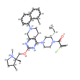 C=C(F)C(=O)N1CCN(c2nc(OC[C@]3(C)C(C)CCN3C)nc3c2CCN(c2cccc4cccc(C)c24)C3)C[C@@H]1CC#N